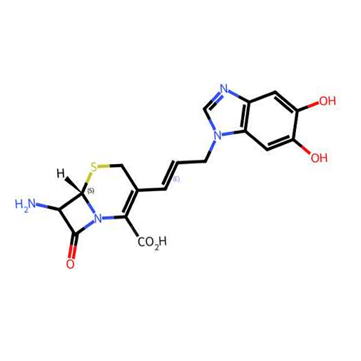 NC1C(=O)N2C(C(=O)O)=C(/C=C/Cn3cnc4cc(O)c(O)cc43)CS[C@@H]12